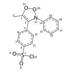 CC1=C(c2ccc(S(=O)(=O)Cl)cc2)N(c2ccccc2)OO1